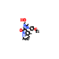 C=C(Nc1ccc(OCC)cc1)N(CCO)Cc1cc2cc(C)c(COC(C)=O)c(C)c2[nH]c1=O